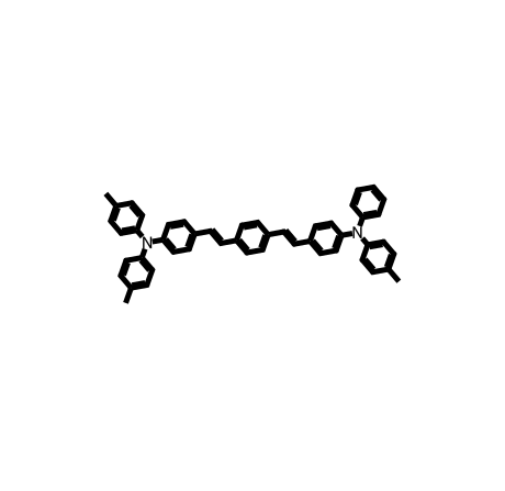 Cc1ccc(N(c2ccccc2)c2ccc(/C=C/c3ccc(/C=C/c4ccc(N(c5ccc(C)cc5)c5ccc(C)cc5)cc4)cc3)cc2)cc1